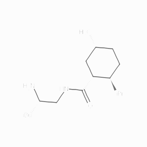 CCC(C)[C@H](N)CNC(=O)[C@@H]1C[C@H](C)CC[C@H]1C(C)C